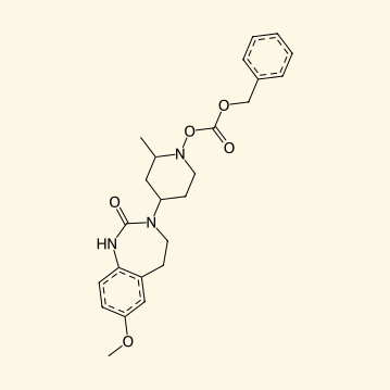 COc1ccc2c(c1)CCN(C1CCN(OC(=O)OCc3ccccc3)C(C)C1)C(=O)N2